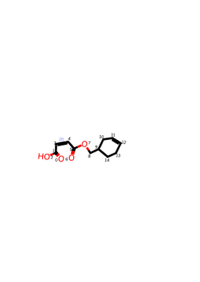 O=C(O)/C=C\C(=O)OCC1CC=CCC1